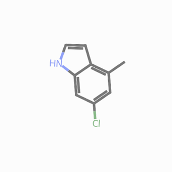 Cc1cc(Cl)cc2[nH]ccc12